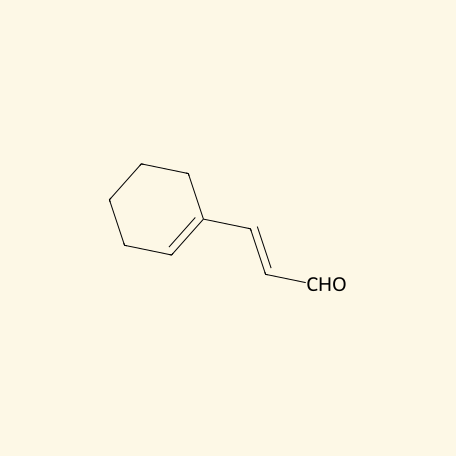 O=CC=CC1=CCCCC1